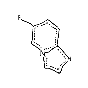 Fc1ccc2nccn2c1